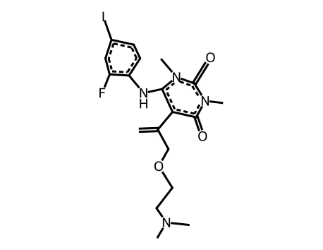 C=C(COCCN(C)C)c1c(Nc2ccc(I)cc2F)n(C)c(=O)n(C)c1=O